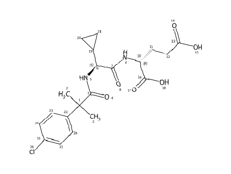 CC(C)(C(=O)N[C@H](C(=O)N[C@H](CCC(=O)O)C(=O)O)C1CC1)c1ccc(Cl)cc1